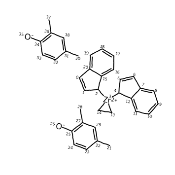 C1=C[CH]([Zr+2]2([CH]3C=Cc4ccccc43)[CH2][CH2]2)c2ccccc21.Cc1ccc([O-])c(C)c1.Cc1ccc([O-])c(C)c1